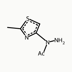 CC(=O)N(N)c1csc(C)n1